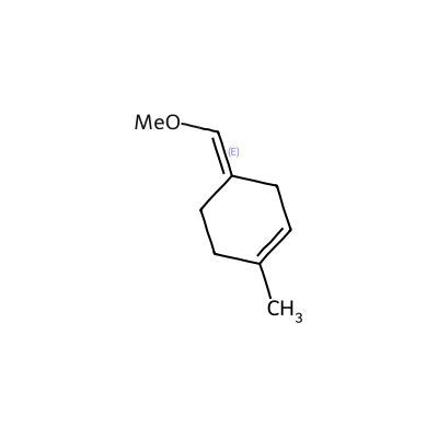 CO/C=C1/CC=C(C)CC1